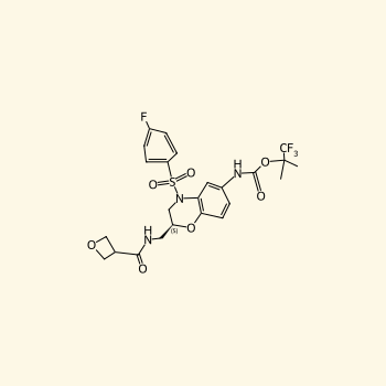 CC(C)(OC(=O)Nc1ccc2c(c1)N(S(=O)(=O)c1ccc(F)cc1)C[C@H](CNC(=O)C1COC1)O2)C(F)(F)F